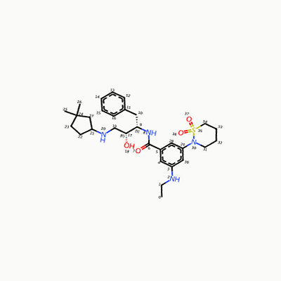 CCNc1cc(C(=O)N[C@@H](Cc2ccccc2)[C@H](O)CNC2CCC(C)(C)C2)cc(N2CCCCS2(=O)=O)c1